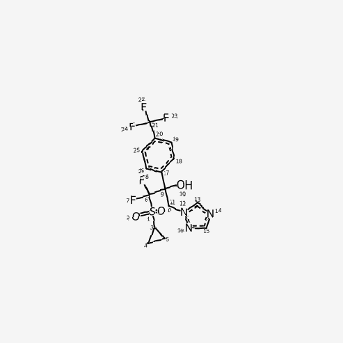 O=S(=O)(C1CC1)C(F)(F)C(O)(Cn1cncn1)c1ccc(C(F)(F)F)cc1